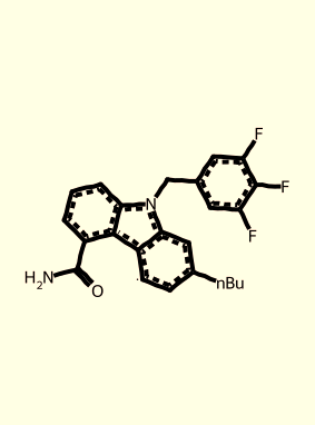 CCCCc1c[c]c2c3c(C(N)=O)cccc3n(Cc3cc(F)c(F)c(F)c3)c2c1